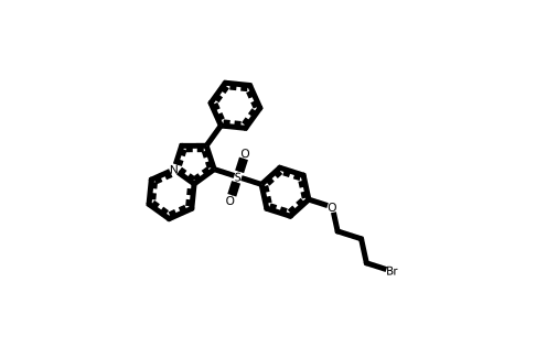 O=S(=O)(c1ccc(OCCCBr)cc1)c1c(-c2ccccc2)cn2ccccc12